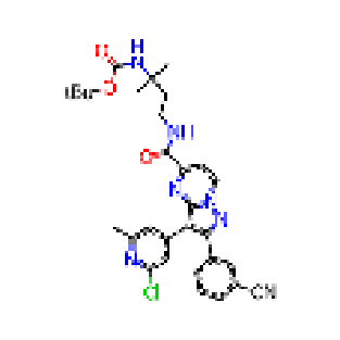 Cc1cc(-c2c(-c3cccc(C#N)c3)nn3ccc(C(=O)NCCC(C)(C)NC(=O)OC(C)(C)C)nc23)cc(Cl)n1